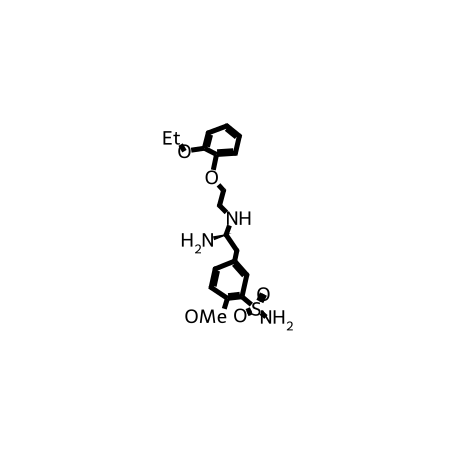 CCOc1ccccc1OCCN[C@H](N)Cc1ccc(OC)c(S(N)(=O)=O)c1